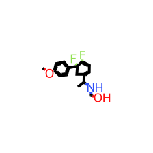 COc1ccc(C2(F)CC(C(C)NCO)=CC=C2F)cc1